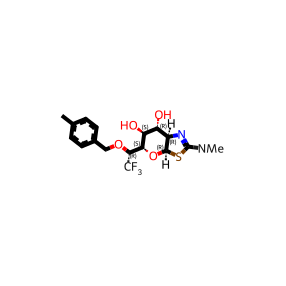 CNC1=N[C@@H]2[C@@H](O)[C@H](O)[C@@H]([C@@H](OCc3ccc(C)cc3)C(F)(F)F)O[C@@H]2S1